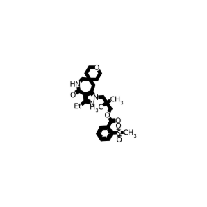 CCc1nn(CC(C)(C)COC(=O)c2ccccc2S(C)(=O)=O)c2c1C(=O)NCC1(CCOCC1)C2